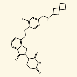 O=C1CCC(N2Cc3c(SCc4ccc(CNC5CC6(CCC6)C5)cc4F)cccc3C2=O)C(=O)N1